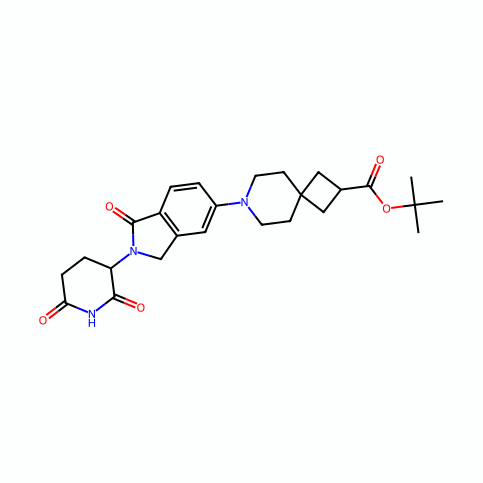 CC(C)(C)OC(=O)C1CC2(CCN(c3ccc4c(c3)CN(C3CCC(=O)NC3=O)C4=O)CC2)C1